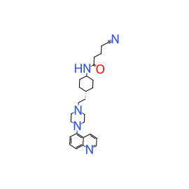 N#CCCCC(=O)N[C@H]1CC[C@H](CCN2CCN(c3cccc4ncccc34)CC2)CC1